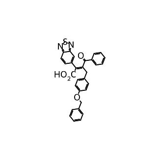 O=C(O)C(=C(Cc1ccc(OCc2ccccc2)cc1)C(=O)c1ccccc1)c1ccc2nsnc2c1